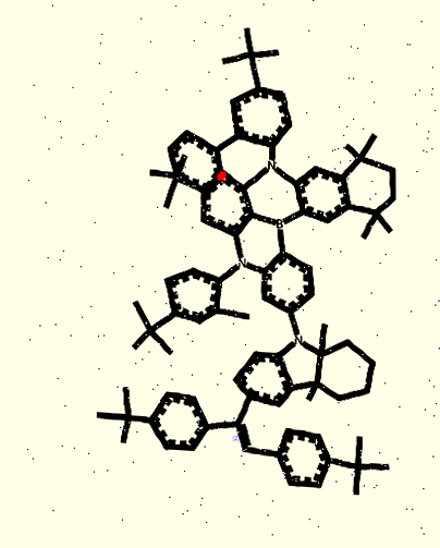 Cc1cc(C(C)(C)C)ccc1N1c2cc(N3c4ccc(/C(=C\c5ccc(C(C)(C)C)cc5)c5ccc(C(C)(C)C)cc5)cc4C4(C)CCCCC34C)ccc2B2c3cc4c(cc3N(c3ccc(C(C)(C)C)cc3-c3ccccc3)c3cc(C(C)(C)C)cc1c32)C(C)(C)CCC4(C)C